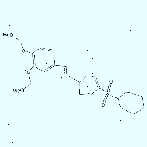 COCOc1ccc(C=Cc2ccc(S(=O)(=O)N3CCOCC3)cc2)cc1OCOC